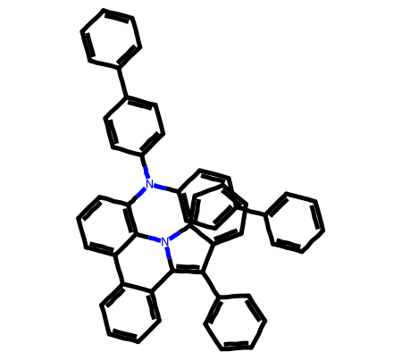 c1ccc(-c2ccc(N(c3ccc(-c4ccccc4)cc3)c3cccc4c5ccccc5c5c(-c6ccccc6)c6ccccc6n5c34)cc2)cc1